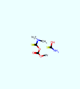 CC(C)OC(=O)OC(=S)N(C)C.NC(O)=S